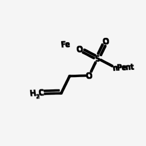 C=CCOS(=O)(=O)CCCCC.[Fe]